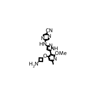 COc1nc(C)cc(O[C@H]2C[C@H](N)C2)c1-c1cc(Nc2cnc(C#N)cn2)n[nH]1